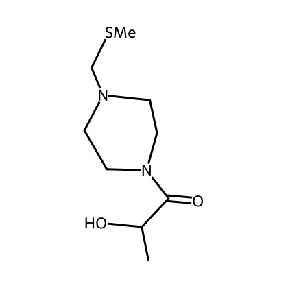 CSCN1CCN(C(=O)C(C)O)CC1